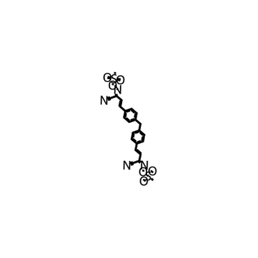 CS(=O)(=O)O/N=C(C#N)/C=C/c1ccc(Cc2ccc(/C=C/C(C#N)=N/OS(C)(=O)=O)cc2)cc1